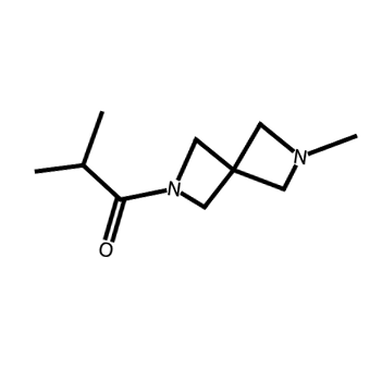 CC(C)C(=O)N1CC2(CN(C)C2)C1